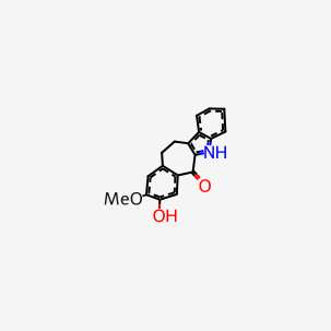 COc1cc2c(cc1O)C(=O)c1[nH]c3ccccc3c1CC2